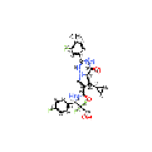 Cc1ccc(-c2nn3cc(C(=O)N[C@@H](c4ccc(F)cc4)C(F)(F)CO)c(C4CC4)c3c(=O)[nH]2)cc1F